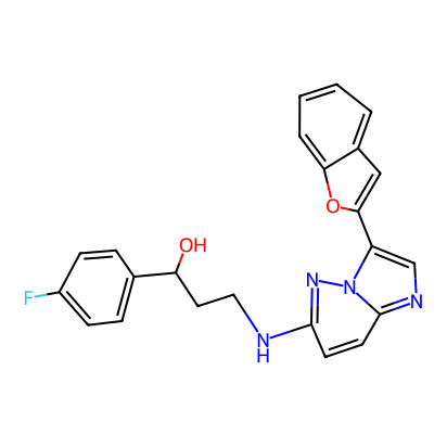 OC(CCNc1ccc2ncc(-c3cc4ccccc4o3)n2n1)c1ccc(F)cc1